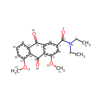 CCN(CC)C(=O)c1cc(OC)c2c(c1)C(=O)c1cccc(OC)c1C2=O